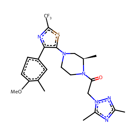 COc1ccc(-c2nc(C(F)(F)F)sc2N2CCN(C(=O)Cn3nc(C)nc3C)[C@H](C)C2)cc1C